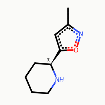 Cc1cc([C@@H]2CCCCN2)on1